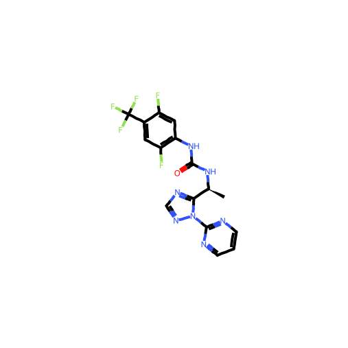 C[C@H](NC(=O)Nc1cc(F)c(C(F)(F)F)cc1F)c1ncnn1-c1ncccn1